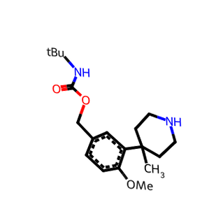 COc1ccc(COC(=O)NC(C)(C)C)cc1C1(C)CCNCC1